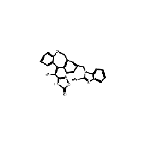 CCCC(=C1c2ccc(Cn3c(CCC)nc4ccccc43)cc2COc2ccccc21)c1noc(=O)[nH]1